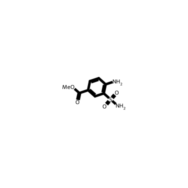 COC(=O)c1ccc(N)c(S(N)(=O)=O)c1